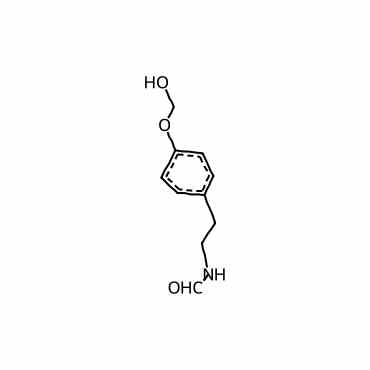 O=CNCCc1ccc(OCO)cc1